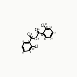 O=C(OC(=O)c1ccccc1Cl)c1ccccc1Cl